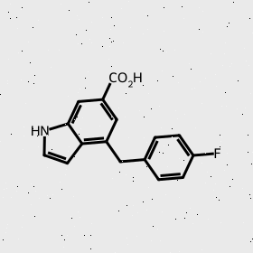 O=C(O)c1cc(Cc2ccc(F)cc2)c2cc[nH]c2c1